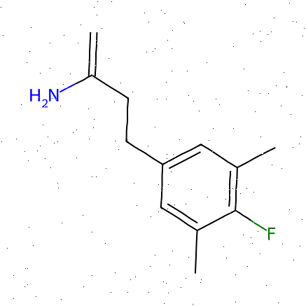 C=C(N)CCc1cc(C)c(F)c(C)c1